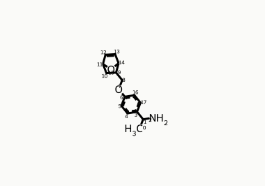 CC(N)c1ccc(OCC2CC3C=CC2O3)cc1